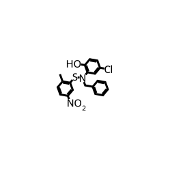 Cc1ccc([N+](=O)[O-])cc1SN(Cc1ccccc1)c1cc(Cl)ccc1O